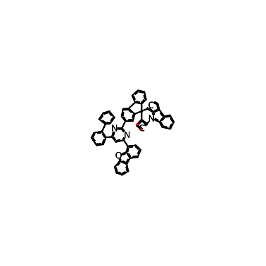 c1ccc(-c2ccccc2-c2cc(-c3cccc4c3oc3ccccc34)nc(-c3ccc4c(c3)C3(c5ccccc5-4)c4ccccc4-n4c5ccccc5c5cccc3c54)n2)cc1